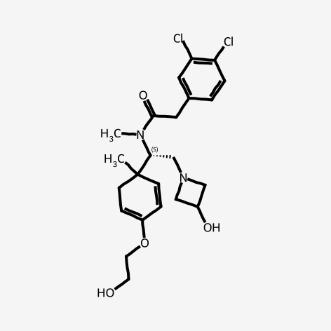 CN(C(=O)Cc1ccc(Cl)c(Cl)c1)[C@H](CN1CC(O)C1)C1(C)C=CC(OCCO)=CC1